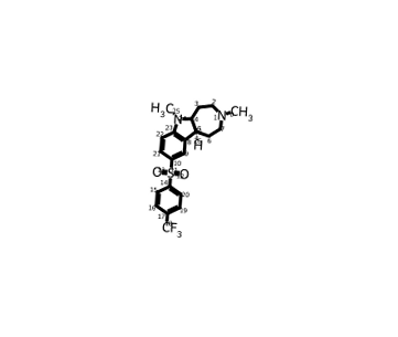 CN1CCC2[C@@H](CC1)c1cc(S(=O)(=O)c3ccc(C(F)(F)F)cc3)ccc1N2C